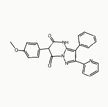 COc1ccc(C2C(=O)Nc3c(-c4ccccc4)c(-c4ccccn4)nn3C2=O)cc1